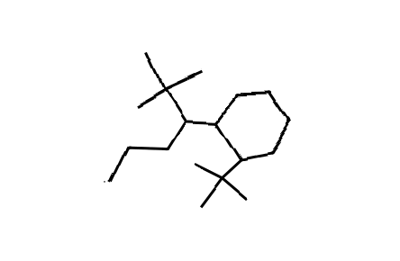 [CH2]CCC([C]1CCCCC1C(C)(C)C)C(C)(C)C